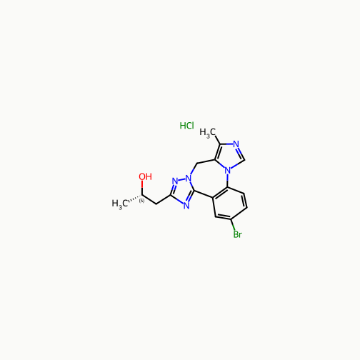 Cc1ncn2c1Cn1nc(C[C@H](C)O)nc1-c1cc(Br)ccc1-2.Cl